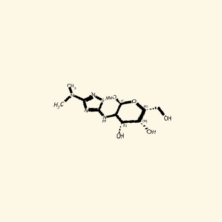 CO[C@H]1O[C@H](CO)[C@H](O)[C@H](O)C1Nc1nc(N(C)C)ns1